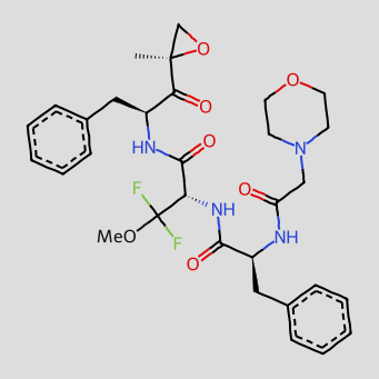 COC(F)(F)[C@@H](NC(=O)[C@H](Cc1ccccc1)NC(=O)CN1CCOCC1)C(=O)N[C@@H](Cc1ccccc1)C(=O)[C@@]1(C)CO1